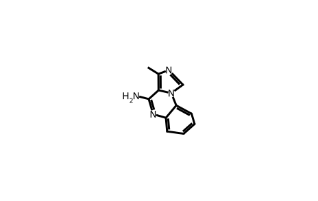 Cc1ncn2c1c(N)nc1ccccc12